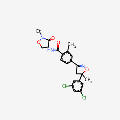 CCN1OC[C@H](NC(=O)c2ccc(C3=NOC(c4cc(Cl)cc(Cl)c4)(C(F)(F)F)C3)cc2C)C1=O